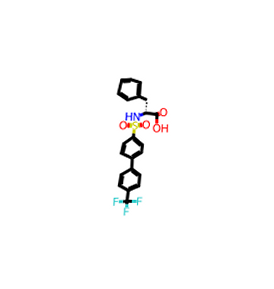 O=C(O)[C@@H](Cc1ccccc1)NS(=O)(=O)c1ccc(-c2ccc(C(F)(F)F)cc2)cc1